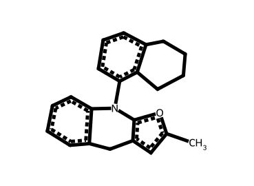 Cc1cc2c(o1)N(c1cccc3c1CCCC3)c1ccccc1C2